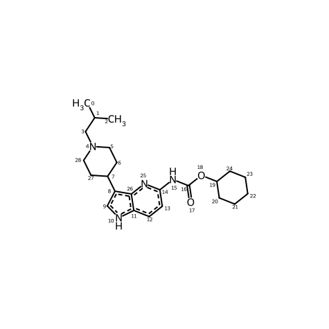 CC(C)CN1CCC(c2c[nH]c3ccc(NC(=O)OC4CCCCC4)nc23)CC1